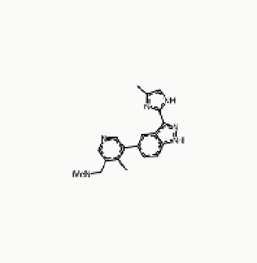 CNCc1cncc(-c2ccc3[nH]nc(-c4nc(C)c[nH]4)c3c2)c1C